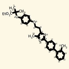 CCOC(=O)C(C)(C)Oc1ccc(OCCc2nc(-c3ccc(-c4ccccc4C)cc3)oc2C)cc1